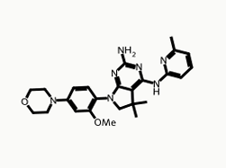 COc1cc(N2CCOCC2)ccc1N1CC(C)(C)c2c(Nc3cccc(C)n3)nc(N)nc21